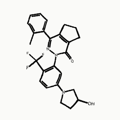 Cc1ccccc1-c1nn(-c2cc(N3CCC(O)C3)ccc2C(F)(F)F)c(=O)c2c1CCC2